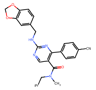 CC(C)CN(C)C(=O)c1cnc(NCc2ccc3c(c2)OCO3)nc1-c1ccc(C#N)cc1